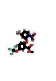 COC(=O)c1cc(OC(F)(F)F)ccc1Oc1cc(Br)ccc1[N+](=O)[O-]